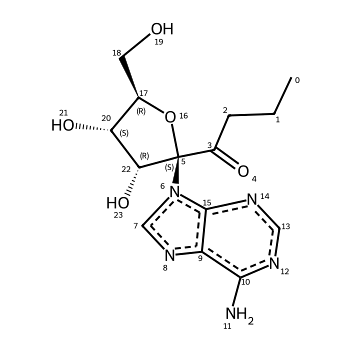 CCCC(=O)[C@@]1(n2cnc3c(N)ncnc32)O[C@H](CO)[C@@H](O)[C@H]1O